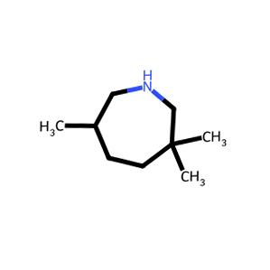 CC1CCC(C)(C)CNC1